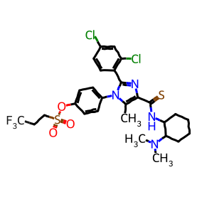 Cc1c(C(=S)NC2CCCCC2N(C)C)nc(-c2ccc(Cl)cc2Cl)n1-c1ccc(OS(=O)(=O)CCC(F)(F)F)cc1